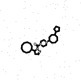 O=C(N1CCN(C2CCCCC(C3CCCC3)CC2)CC1)N1N=CCC1C1CCCCCCCCC1